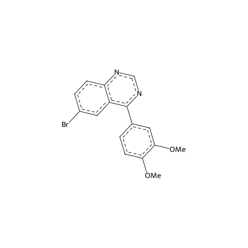 COc1ccc(-c2ncnc3ccc(Br)cc23)cc1OC